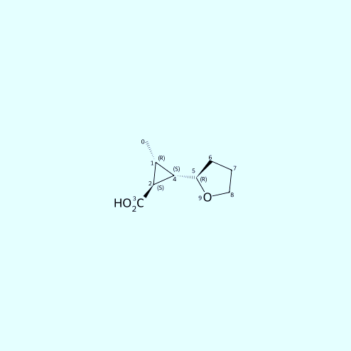 C[C@H]1[C@H](C(=O)O)[C@H]1[C@H]1CCCO1